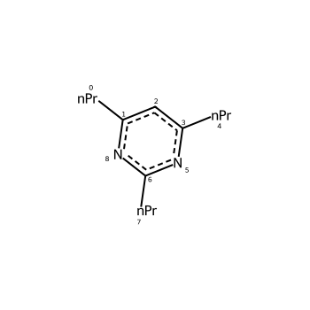 CCCc1cc(CCC)nc(CCC)n1